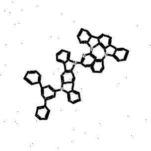 c1ccc(-c2cc(-c3ccccc3)cc(-n3c4ccccc4c4cc5c(cc43)c3ccccc3n5-c3cccc(-n4c5ccccc5c5ccc6c7ccccc7n(-c7ccccc7)c6c54)n3)c2)cc1